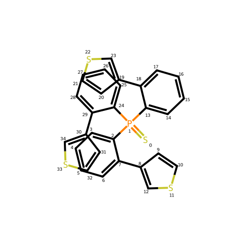 S=P(c1ccccc1-c1ccsc1)(c1ccccc1-c1ccsc1)c1ccccc1-c1ccsc1